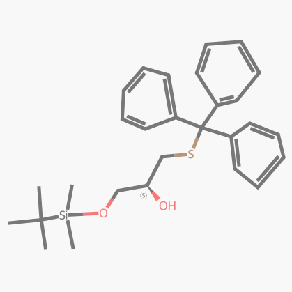 CC(C)(C)[Si](C)(C)OC[C@H](O)CSC(c1ccccc1)(c1ccccc1)c1ccccc1